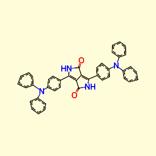 O=C1NC(c2ccc(N(c3ccccc3)c3ccccc3)cc2)=C2C(=O)NC(c3ccc(N(c4ccccc4)c4ccccc4)cc3)=C12